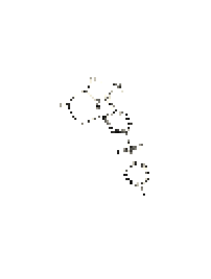 CC1CNCCc2c1n(C)c1ccc(S(=O)(=O)c3ccc(F)cc3)cc21